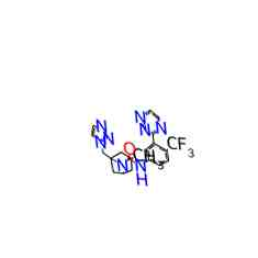 CC1CC2CC(Cn3ccnn3)(C1)N2C(=O)Nc1ccc(C(F)(F)F)c(-c2nccnn2)c1